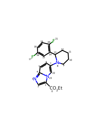 CCOC(=O)c1cnc2ccc(N3CCCCC3c3cc(F)ccc3F)cn12